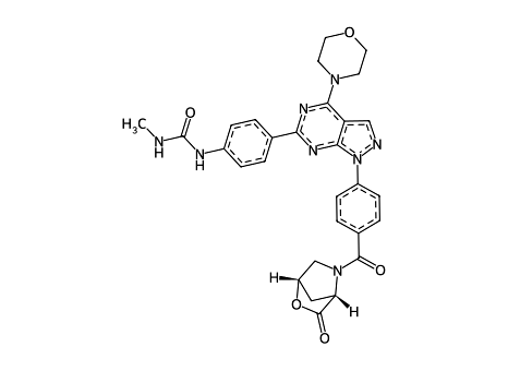 CNC(=O)Nc1ccc(-c2nc(N3CCOCC3)c3cnn(-c4ccc(C(=O)N5C[C@@H]6C[C@H]5C(=O)O6)cc4)c3n2)cc1